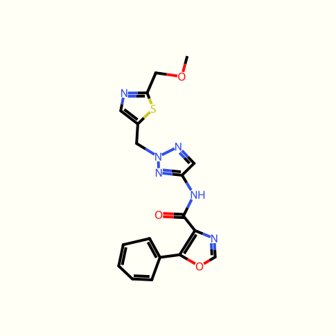 COCc1ncc(Cn2ncc(NC(=O)c3ncoc3-c3ccccc3)n2)s1